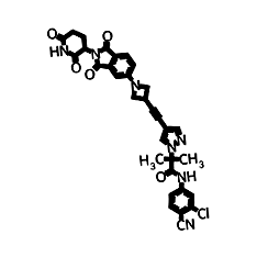 CC(C)(C(=O)Nc1ccc(C#N)c(Cl)c1)n1cc(C#CC2CN(c3ccc4c(c3)C(=O)N(C3CCC(=O)NC3=O)C4=O)C2)cn1